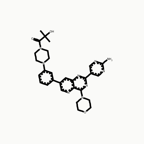 CC(C)(O)C(=O)N1CCN(c2cccc(-c3cnc4c(N5CCOCC5)nc(-c5cnc(N)nc5)nc4c3)c2)CC1